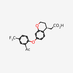 CC(=O)c1cc(C(F)(F)F)ccc1Oc1ccc2c(c1)OCC[C@H]2CC(=O)O